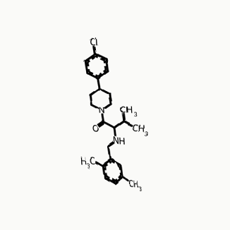 Cc1ccc(C)c(CNC(C(=O)N2CCC(c3ccc(Cl)cc3)CC2)C(C)C)c1